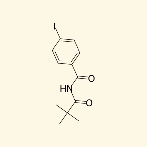 CC(C)(C)C(=O)NC(=O)c1ccc(I)cc1